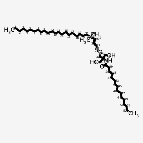 CCCCCCCCCCCCCCCCCCCCCC[N+](C)(C)CCCSOCC(CO)(CO)NC(=O)CCCCCCCCCCCCCCC